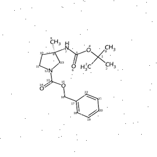 CC(C)(C)OC(=O)N[C@]1(C)CCN(C(=O)OCc2ccccc2)C1